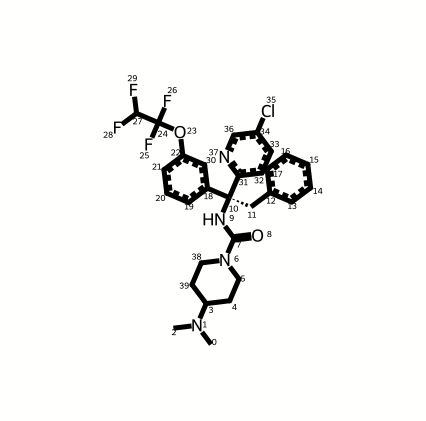 CN(C)C1CCN(C(=O)N[C@@](Cc2ccccc2)(c2cccc(OC(F)(F)C(F)F)c2)c2ccc(Cl)cn2)CC1